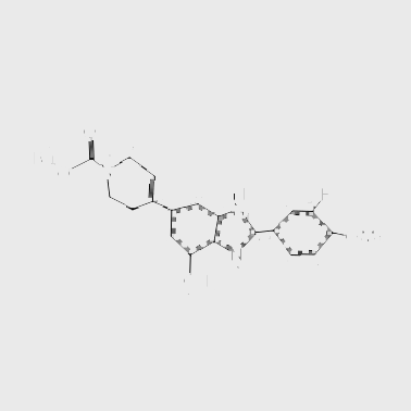 COc1ccc(-c2nc3c(C)cc(C4=CCN(C(=O)OC(C)(C)C)CC4)cc3[nH]2)cc1F